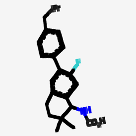 CC(C)Cc1ccc(-c2cc3c(cc2F)C(NC(=O)O)C(C)(C)CC3)cc1